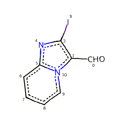 O=Cc1c(I)nc2ccccn12